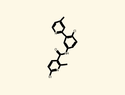 CCc1ccc(C(=O)Nc2ccc(Cl)c(-c3cc(C)ccn3)c2)c(C)n1